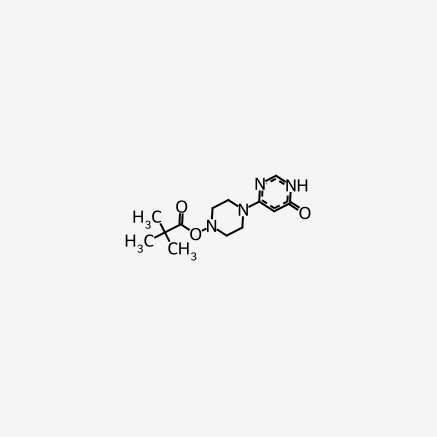 CC(C)(C)C(=O)ON1CCN(c2cc(=O)[nH]cn2)CC1